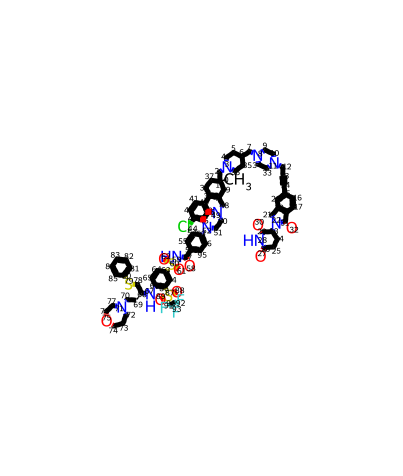 C[C@@]1(CN2CCC(CN3CCN(CC#Cc4ccc5c(c4)CN(C4CCC(=O)NC4=O)C5=O)CC3)CC2)CCC(c2ccc(Cl)cc2)=C(CN2CCN(c3ccc(C(=O)NS(=O)(=O)c4ccc(N[C@H](CCN5CCCOCC5)CSc5ccccc5)c(S(=O)(=O)C(F)(F)F)c4)cc3)CC2)C1